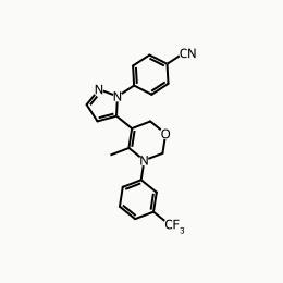 CC1=C(c2ccnn2-c2ccc(C#N)cc2)COCN1c1cccc(C(F)(F)F)c1